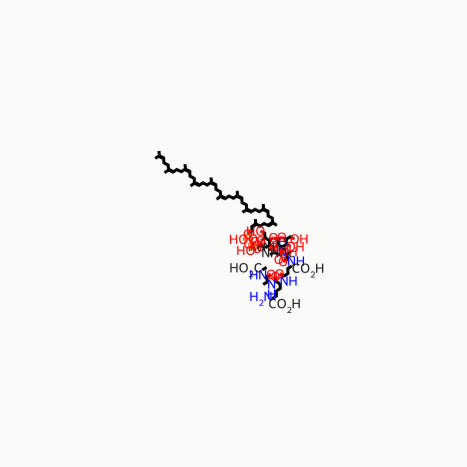 CC(=O)NC1C(OC2C(CO)OC(OP(=O)(O)OP(=O)(O)OCC=C(C)CCC=C(C)CCC=C(C)CCC=C(C)CCC=C(C)CCC=C(C)CCC=C(C)CCC=C(C)CCC=C(C)CCC=C(C)CCC=C(C)C)C(NC(C)=O)C2OC(C)C(=O)NC(C)C(=O)NC(CCC(=O)NC(CCCC(N)C(=O)O)C(=O)NC(C)C(=O)NC(C)C(=O)O)C(=O)O)OC(CO)C(O)C1O